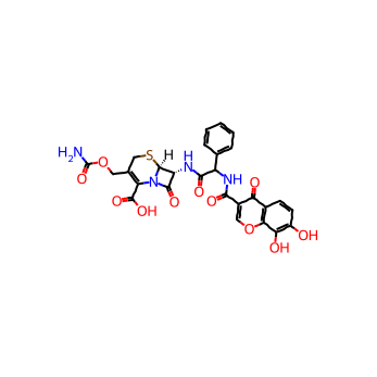 NC(=O)OCC1=C(C(=O)O)N2C(=O)[C@@H](NC(=O)C(NC(=O)c3coc4c(O)c(O)ccc4c3=O)c3ccccc3)[C@@H]2SC1